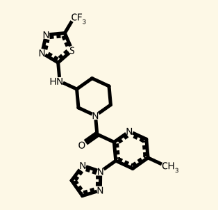 Cc1cnc(C(=O)N2CCCC(Nc3nnc(C(F)(F)F)s3)C2)c(-n2nccn2)c1